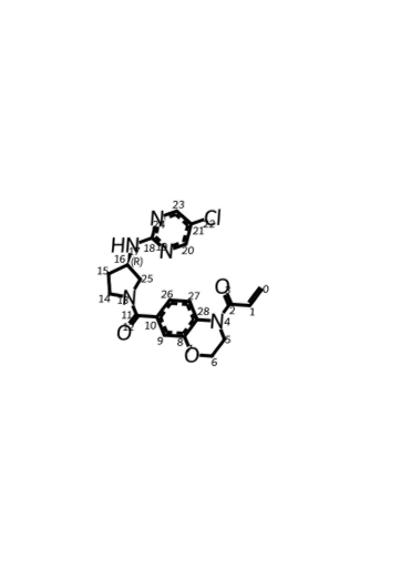 C=CC(=O)N1CCOc2cc(C(=O)N3CC[C@@H](Nc4ncc(Cl)cn4)C3)ccc21